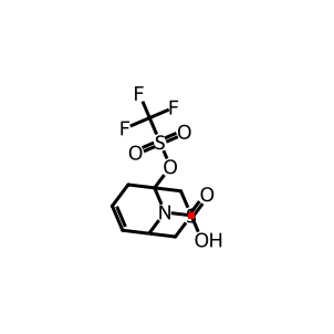 O=C(O)N1C2C=CCC1(OS(=O)(=O)C(F)(F)F)CSC2